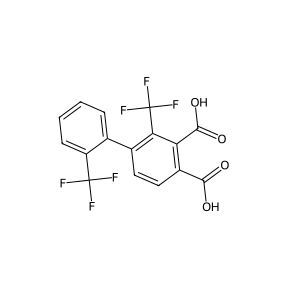 O=C(O)c1ccc(-c2ccccc2C(F)(F)F)c(C(F)(F)F)c1C(=O)O